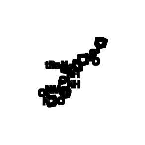 CNC(=O)c1cc(Oc2ccc(NC(=O)Nc3cc(C(C)(C)C)nn3-c3ccc4c(c3)CCN(C(=O)OCc3ccccc3)C4)c(F)c2)ccn1